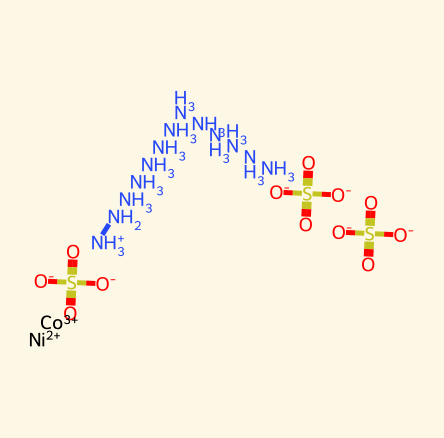 N.N.N.N.N.N.N.N.N.N.N.N[NH3+].O=S(=O)([O-])[O-].O=S(=O)([O-])[O-].O=S(=O)([O-])[O-].[Co+3].[Ni+2]